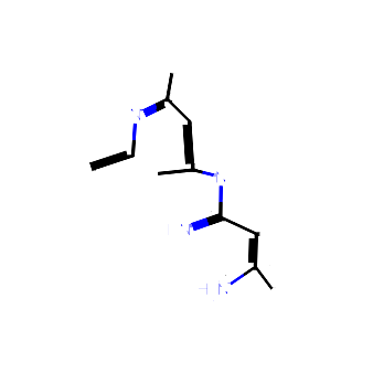 C=C/N=C(C)\C=C(/C)NC(=N)/C=C(/C)N